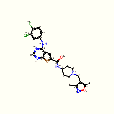 Cc1noc(C)c1CN1CCC(NC(=O)c2cc3c(Nc4ccc(F)c(Cl)c4)ncnc3s2)CC1